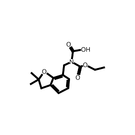 CCOC(=O)N(Cc1cccc2c1OC(C)(C)C2)C(=O)O